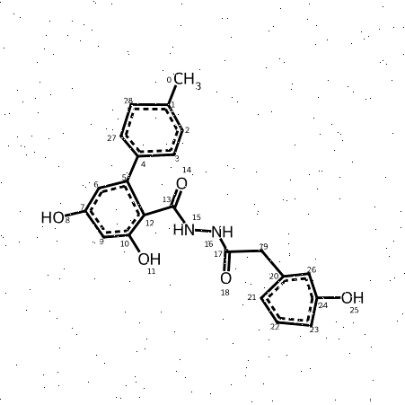 Cc1ccc(-c2cc(O)cc(O)c2C(=O)NNC(=O)Cc2cccc(O)c2)cc1